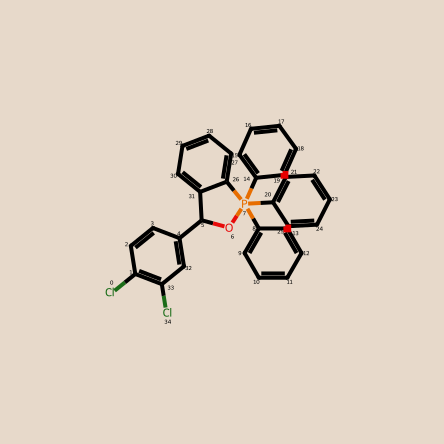 Clc1ccc(C2OP(c3ccccc3)(c3ccccc3)(c3ccccc3)c3ccccc32)cc1Cl